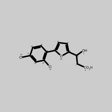 O=C(O)CC(O)c1ccc(-c2ccc(Cl)cc2Cl)o1